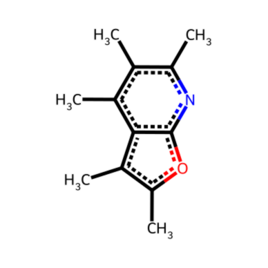 Cc1nc2oc(C)c(C)c2c(C)c1C